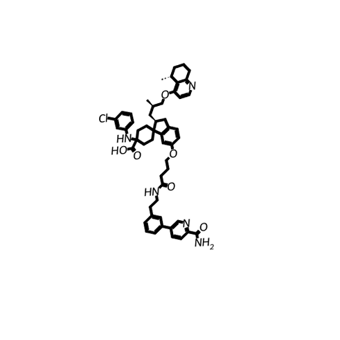 C[C@@H](COc1ccnc2c1[C@H](C)CCC2)C[C@H]1Cc2ccc(OCCCC(=O)NCCc3cccc(-c4ccc(C(N)=O)nc4)c3)cc2C12CCC(Nc1cccc(Cl)c1)(C(=O)O)CC2